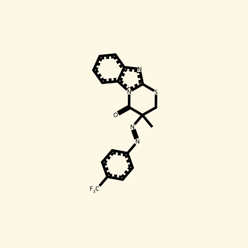 CC1(N=Nc2ccc(C(F)(F)F)cc2)CSc2nc3ccccc3n2C1=O